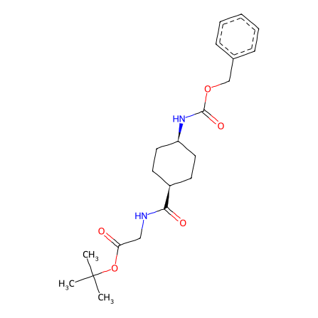 CC(C)(C)OC(=O)CNC(=O)[C@H]1CC[C@@H](NC(=O)OCc2ccccc2)CC1